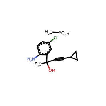 CS(=O)(=O)O.Nc1ccc(Cl)cc1C(O)(C#CC1CC1)C(F)(F)F